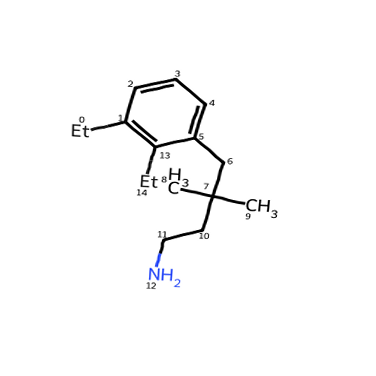 CCc1cccc(CC(C)(C)CCN)c1CC